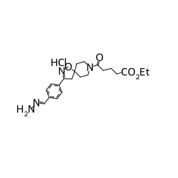 CCOC(=O)CCCC(=O)N1CCC2(CC1)CC(c1ccc(C=NN)cc1)=NO2.Cl